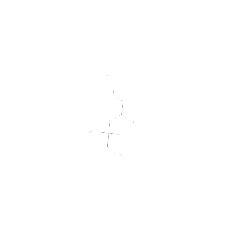 CCCCC(C)CC(C)(C)CC